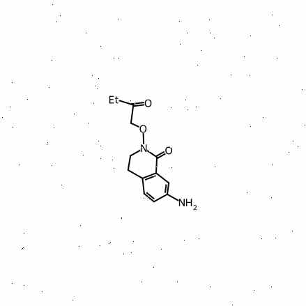 CCC(=O)CON1CCc2ccc(N)cc2C1=O